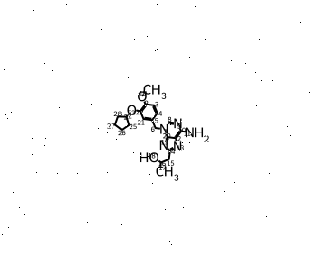 COc1ccc(Cn2cnc(N)c3nc(CC(C)O)nc2-3)cc1OC1CCCC1